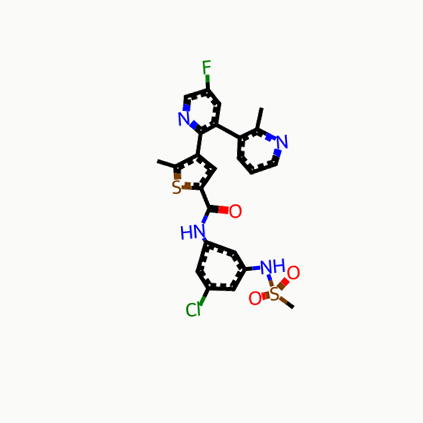 Cc1ncccc1-c1cc(F)cnc1-c1cc(C(=O)Nc2cc(Cl)cc(NS(C)(=O)=O)c2)sc1C